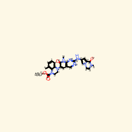 Cc1cccc2c1N(C(=O)OC(C)(C)C)CCN2c1cc2cnc(Nc3cc4n(c3)CCN(C)C4=O)nc2n(C)c1=O